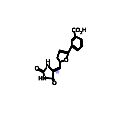 O=C1NC(=O)/C(=C/C2CC=C(c3cccc(C(=O)O)c3)O2)N1